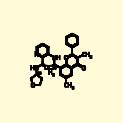 Cc1cc([C@@H](C)Nc2cccnc2C(=O)N[C@H]2CCOC2)c2oc(-c3ccccc3)c(C)c(=O)c2c1